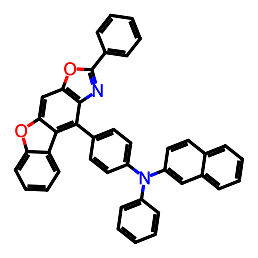 c1ccc(-c2nc3c(-c4ccc(N(c5ccccc5)c5ccc6ccccc6c5)cc4)c4c(cc3o2)oc2ccccc24)cc1